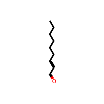 CCCCCCC=C[C]=O